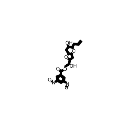 C=CCC1OC2CC(C(O)COC(=O)c3cc(N=O)cc(N=O)c3)OC2CC1O